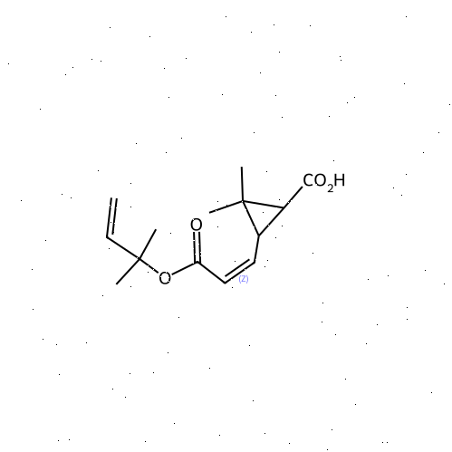 C=CC(C)(C)OC(=O)/C=C\C1C(C(=O)O)C1(C)C